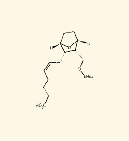 CCCCCCOC[C@@H]1[C@H](C/C=C\CCCC(=O)O)[C@@H]2CC[C@H]1O2